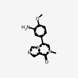 COc1ccc(-c2cn(C)c(=O)c3cncn23)cc1N